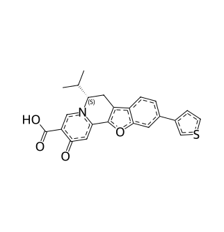 CC(C)[C@@H]1Cc2c(oc3cc(-c4ccsc4)ccc23)-c2cc(=O)c(C(=O)O)cn21